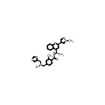 CC(=O)N(Cc1ccc(C(=O)N[C@H](C)c2cc(-c3cnn(C)c3)nc3ccccc23)c(C)c1)Cc1cscn1